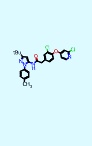 Cc1ccc(-n2nc(C(C)(C)C)cc2NC(=O)Cc2ccc(Oc3ccnc(Cl)c3)c(Cl)c2)cc1